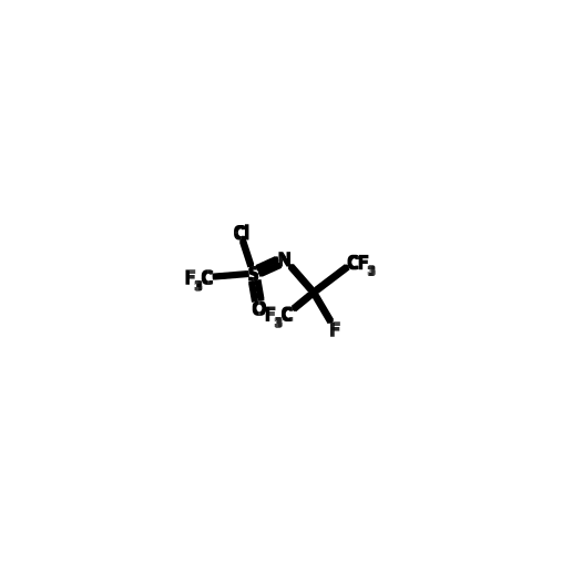 O=S(Cl)(=NC(F)(C(F)(F)F)C(F)(F)F)C(F)(F)F